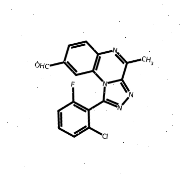 Cc1nc2ccc(C=O)cc2n2c(-c3c(F)cccc3Cl)nnc12